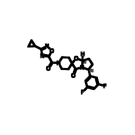 O=C(c1nc(C2CC2)no1)N1CCC2(CC1)O[C@@H]1CC[C@@H](c3cc(F)cc(F)c3)N1C2=O